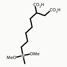 CO[Si](C)(CCCCCC(CC(=O)O)C(=O)O)OC